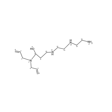 C=CCN(CC=C)C(O)CCNCCNCCN